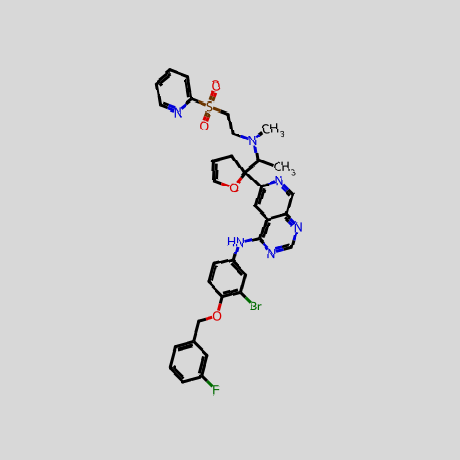 CC(N(C)CCS(=O)(=O)c1ccccn1)C1(c2cc3c(Nc4ccc(OCc5cccc(F)c5)c(Br)c4)ncnc3cn2)CC=CO1